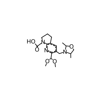 COC(OC)c1nc2c(cc1CN1C(C)COC1C)CCCN2C(=O)O